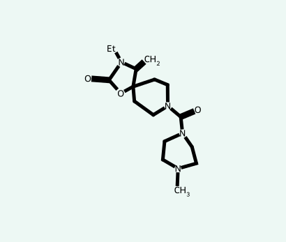 C=C1N(CC)C(=O)OC12CCN(C(=O)N1CCN(C)CC1)CC2